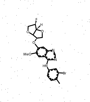 COc1cc2c(Nc3ccc(C)c(Br)c3)ncnc2cc1O[C@@H]1CO[C@@H]2C1OC[C@H]2F